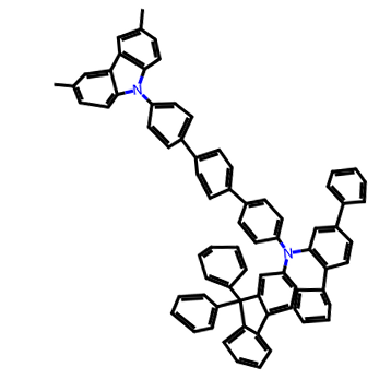 Cc1ccc2c(c1)c1cc(C)ccc1n2-c1ccc(-c2ccc(-c3ccc(N(c4ccc5c(c4)C(c4ccccc4)(c4ccccc4)c4ccccc4-5)c4cc(-c5ccccc5)ccc4-c4ccccc4)cc3)cc2)cc1